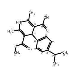 COC(=O)C1=C(C)NC(C)=C(C(=O)O)C1c1ccc(C(C)C)cc1